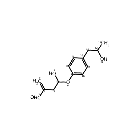 C=C(C=O)CC(O)Oc1ccc(C[C](C)O)cc1